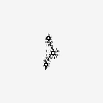 N=C(NC(=S)Nc1ccc(F)cc1)NC1C(O)C(O)C(O)C(NC=NNC(=S)Nc2ccc(F)cc2)C1O